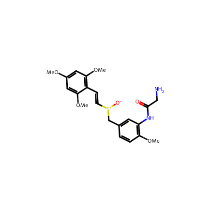 COc1cc(OC)c(C=C[S+]([O-])Cc2ccc(OC)c(NC(=O)CN)c2)c(OC)c1